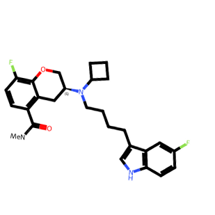 CNC(=O)c1ccc(F)c2c1C[C@H](N(CCCCc1c[nH]c3ccc(F)cc13)C1CCC1)CO2